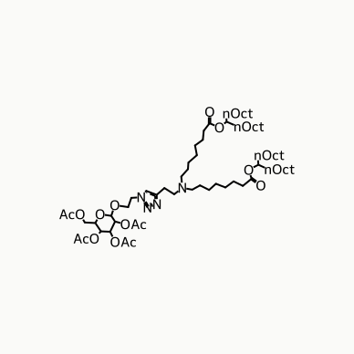 CCCCCCCCC(CCCCCCCC)OC(=O)CCCCCCCN(CCCCCCCC(=O)OC(CCCCCCCC)CCCCCCCC)CCc1cn(CCOC2OC(COC(C)=O)C(OC(C)=O)C(OC(C)=O)C2OC(C)=O)nn1